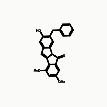 COc1cc(OC)c2c(c1)C(=O)n1c-2cc2cc(O)c(Cc3ccccc3)cc21